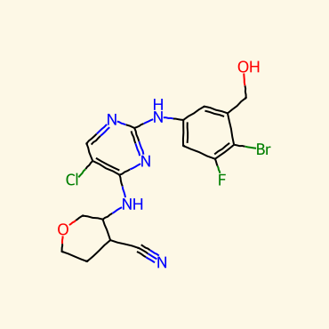 N#CC1CCOCC1Nc1nc(Nc2cc(F)c(Br)c(CO)c2)ncc1Cl